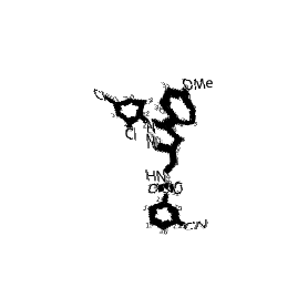 COc1ccc(C2CC(CNS(=O)(=O)c3cccc(C#N)c3)=NN2c2ccc(Cl)cc2Cl)cc1